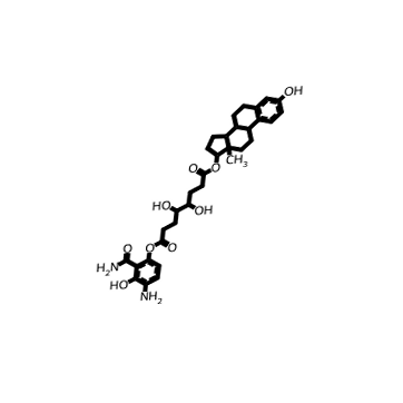 CC12CCC3c4ccc(O)cc4CCC3C1CCC2OC(=O)CCC(O)C(O)CCC(=O)Oc1ccc(N)c(O)c1C(N)=O